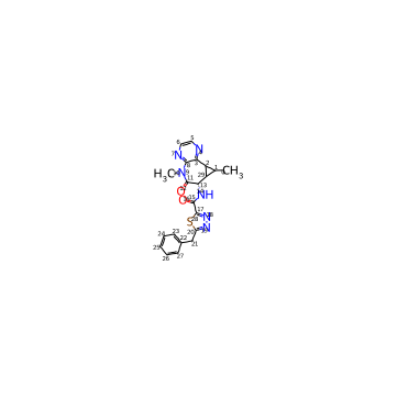 CC1C2c3nccnc3N(C)C(=O)[C@@H](NC(=O)c3nnc(Cc4ccccc4)s3)C12